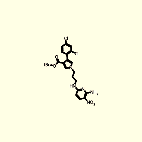 CC(C)(C)OC(=O)c1cn(CCCNc2ccc([N+](=O)[O-])c(N)n2)cc1-c1ccc(Cl)cc1Cl